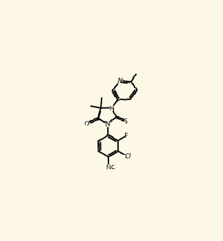 [C-]#[N+]c1ccc(N2C(=O)C(C)(C)N(c3ccc(C)nc3)C2=S)c(F)c1Cl